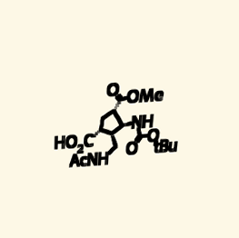 COC(=O)[C@H]1C[C@@H](C(=O)O)[C@H](CNC(C)=O)[C@@H]1NC(=O)OC(C)(C)C